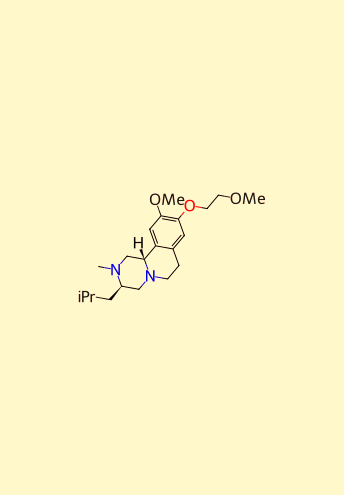 COCCOc1cc2c(cc1OC)[C@H]1CN(C)[C@H](CC(C)C)CN1CC2